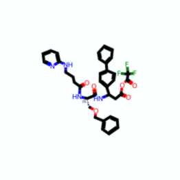 O=C(CCCNc1ccccn1)N[C@@H](COCc1ccccc1)C(=O)NC(CC(=O)OC(=O)C(F)(F)F)c1ccc(-c2ccccc2)cc1